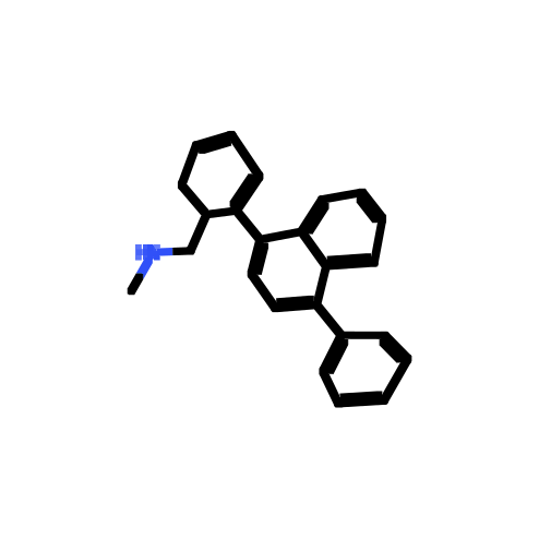 CNCC1CC=CC=C1c1ccc(-c2ccccc2)c2ccccc12